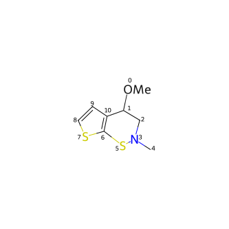 COC1CN(C)Sc2sccc21